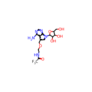 Nc1ncnc2c1c(COCCNC(=O)C(F)(F)F)cn2C1OC(CO)C(O)C1O